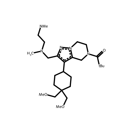 CNCCN(C)Cc1nn2c(c1C1CCC(COC)(COC)CC1)CN(C(=O)C(C)(C)C)CC2